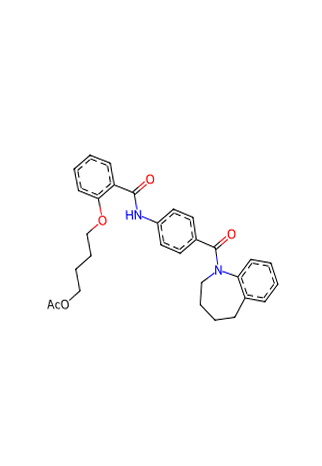 CC(=O)OCCCCOc1ccccc1C(=O)Nc1ccc(C(=O)N2CCCCc3ccccc32)cc1